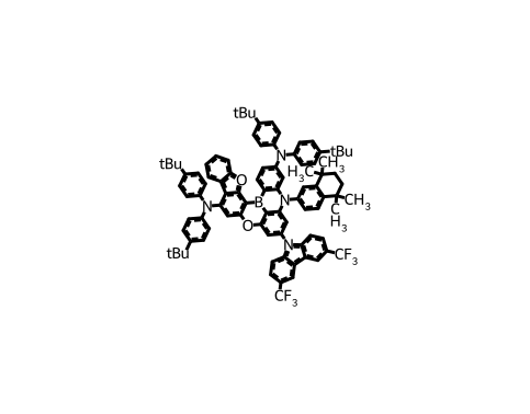 CC(C)(C)c1ccc(N(c2ccc(C(C)(C)C)cc2)c2ccc3c(c2)N(c2ccc4c(c2)C(C)(C)CCC4(C)C)c2cc(-n4c5ccc(C(F)(F)F)cc5c5cc(C(F)(F)F)ccc54)cc4c2B3c2c(cc(N(c3ccc(C(C)(C)C)cc3)c3ccc(C(C)(C)C)cc3)c3c2oc2ccccc23)O4)cc1